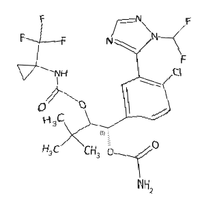 CC(C)(C)C(OC(=O)NC1(C(F)(F)F)CC1)[C@@H](OC(N)=O)c1ccc(Cl)c(-c2ncnn2C(F)F)c1